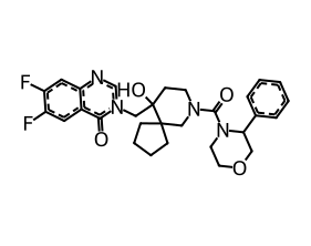 O=C(N1CCC(O)(Cn2cnc3cc(F)c(F)cc3c2=O)C2(CCCC2)C1)N1CCOCC1c1ccccc1